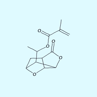 C=C(C)C(=O)OC(C)C1C2CC3C(=O)OC1C3O2